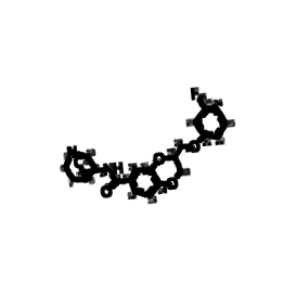 O=C(NC1CN2CCC1CC2)c1ccc2c(c1)O[C@@H](COc1cccc(F)c1)CO2